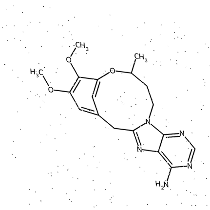 COc1cc2cc(c1OC)OC(C)CCn1c(nc3c(N)ncnc31)C2